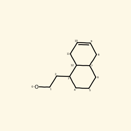 [O]CCC1CCCC2CC=CCC21